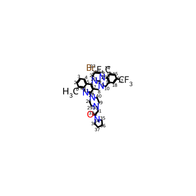 Cc1cccc2cc(CN(Cc3cc(C(F)(F)F)cc(C(F)(F)F)c3)c3ncc(Br)cn3)c(N3CCN(CC(=O)N4CCCC4)CC3)nc12